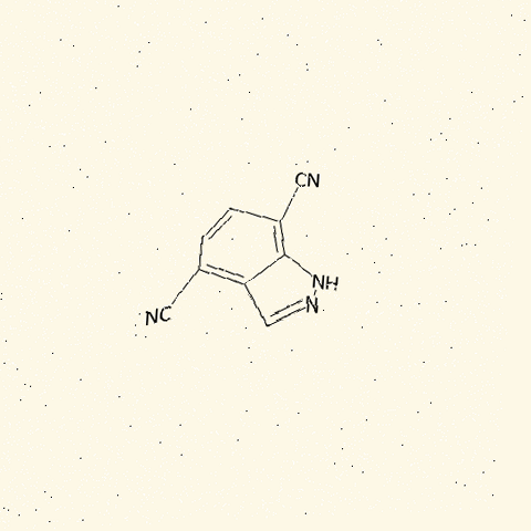 N#Cc1ccc(C#N)c2[nH]ncc12